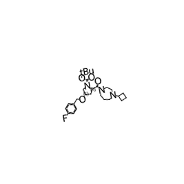 CC(C)(C)OC(=O)N1C[C@@H](OCc2ccc(F)cc2)C[C@@H]1C(=O)N1CCCN(C2CCC2)CC1